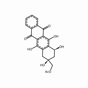 CC(=O)OC[C@]1(O)Cc2c(O)c3c(c(O)c2[C@@H](O)C1)C(=O)c1ccccc1C3=O